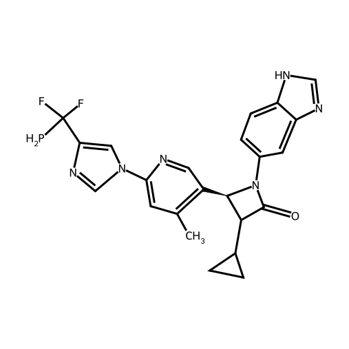 Cc1cc(-n2cnc(C(F)(F)P)c2)ncc1[C@@H]1C(C2CC2)C(=O)N1c1ccc2[nH]cnc2c1